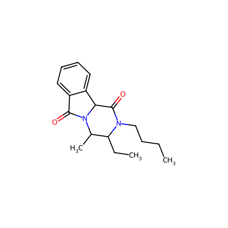 CCCCN1C(=O)C2c3ccccc3C(=O)N2C(C)C1CC